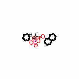 CC(Oc1cccc2ccccc12)OP(=O)(O)Oc1ccccc1